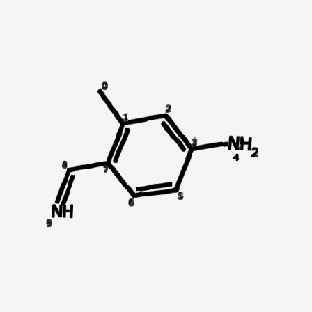 Cc1cc(N)ccc1C=N